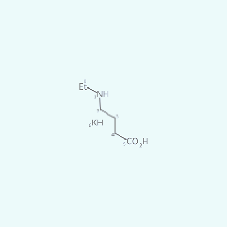 CCNCCCC(=O)O.[KH]